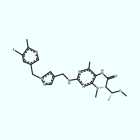 CO[C@H](C)[C@H]1C(=O)Nc2c(C)nc(NCc3cnn(Cc4cnc(C)c(F)c4)c3)nc2N1C